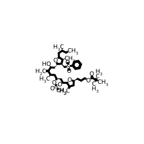 C=C1C[C@H](CCCOC(=O)C(C)(C)C)OC1CC[C@H](C[C@@H](C)C(=C)[C@H](O)C[C@@H]1OC(C[C@H](C)CC)[C@H](C)[C@H]1CS(=O)(=O)c1ccccc1)OS(C)(=O)=O